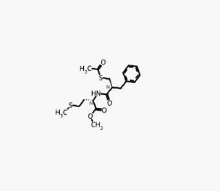 COC(=O)[C@H](CCSC)NC(=O)[C@@H](CSC(C)=O)Cc1ccccc1